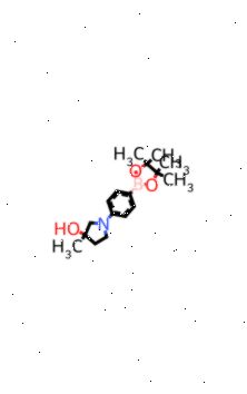 CC1(O)CCN(c2ccc(B3OC(C)(C)C(C)(C)O3)cc2)C1